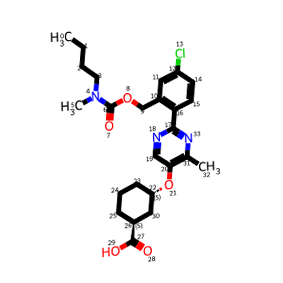 CCCCN(C)C(=O)OCc1cc(Cl)ccc1-c1ncc(O[C@H]2CCC[C@H](C(=O)O)C2)c(C)n1